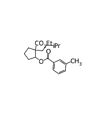 CCOC(=O)C1(CCC(C)C)CCCC1OC(=O)c1cccc(C)c1